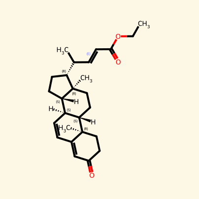 CCOC(=O)/C=C/C(C)[C@H]1CC[C@H]2[C@@H]3C=CC4=CC(=O)CC[C@]4(C)[C@H]3CC[C@]12C